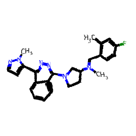 Cc1cc(F)ccc1CN(C)C1CCN(c2nnc(-c3ccnn3C)c3ccccc23)C1